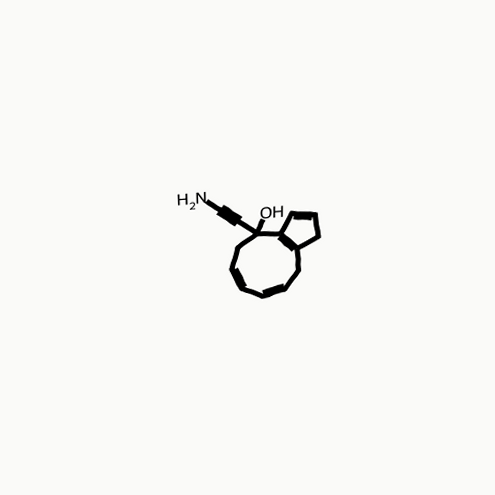 NC#CC1(O)C/C=C\C=C/CC2=C1C=CC2